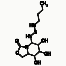 CCCCNSNC1C(O)C(O)C(O)C2COC(=O)N21